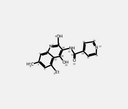 CCc1cc(C)cc2nc(O)c(NC(=O)c3ccncc3)c(O)c12